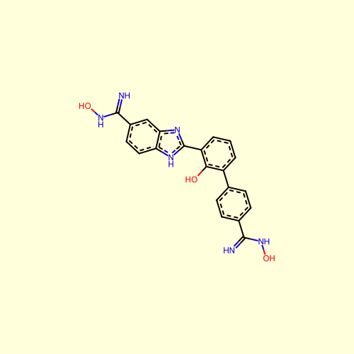 N=C(NO)c1ccc(-c2cccc(-c3nc4cc(C(=N)NO)ccc4[nH]3)c2O)cc1